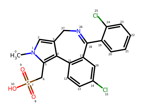 Cn1cc2c(c1CS(=O)(=O)O)-c1ccc(Cl)cc1C(c1ccccc1Cl)=NC2